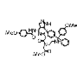 COC(=O)CN(CCNC(c1ccccc1)(c1ccccc1)c1ccc(OC)cc1)C(=O)Cc1nc(NC(=O)c2ccc(OC)cc2)c2cn[nH]c2n1